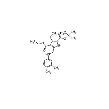 CCOC(=O)c1c(CNc2ccc(C)c(C)c2)[nH]c(C(=O)OC(C)(C)C)c1CC